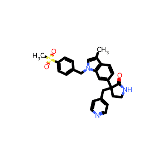 Cc1cn(Cc2ccc(S(C)(=O)=O)cc2)c2cc(C3(Cc4ccncc4)CCNC3=O)ccc12